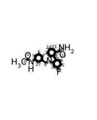 CC(=O)Nc1cccc(Cn2c3cc(F)c[c]c3c3c(C(N)=O)cccc32)c1